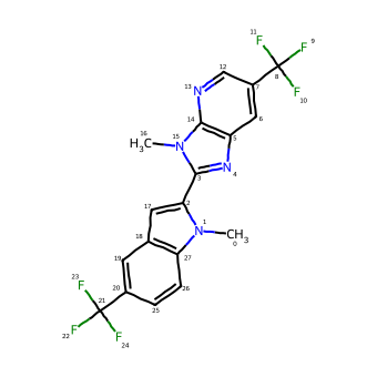 Cn1c(-c2nc3cc(C(F)(F)F)cnc3n2C)cc2cc(C(F)(F)F)ccc21